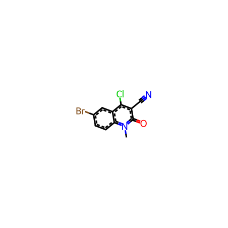 Cn1c(=O)c(C#N)c(Cl)c2cc(Br)ccc21